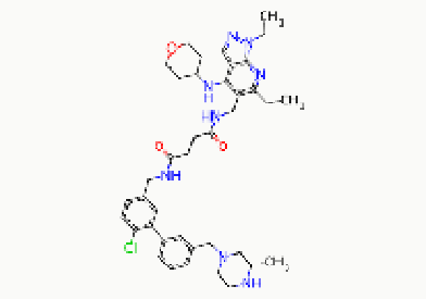 CCc1nc2c(cnn2CC)c(NC2CCOCC2)c1CNC(=O)CCC(=O)NCc1ccc(Cl)c(-c2cccc(CN3CCN[C@@H](C)C3)c2)c1